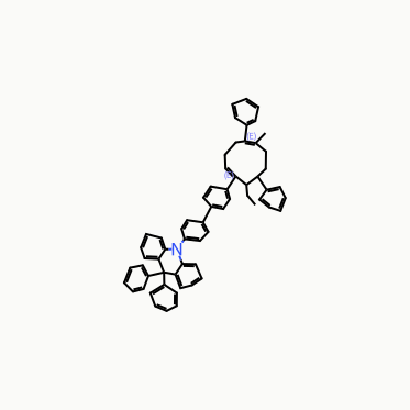 CCC1/C(c2ccc(-c3ccc(N4c5ccccc5C(c5ccccc5)(c5ccccc5)c5ccccc54)cc3)cc2)=C\CC/C(c2ccccc2)=C(/C)CCC1c1ccccc1